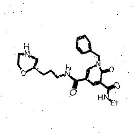 CCNC(=O)c1cc(C(=O)NCCC[C@@H]2CNCCO2)cn(Cc2ccccc2)c1=O